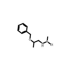 CCN(C)NCC(C)OCc1ccccc1